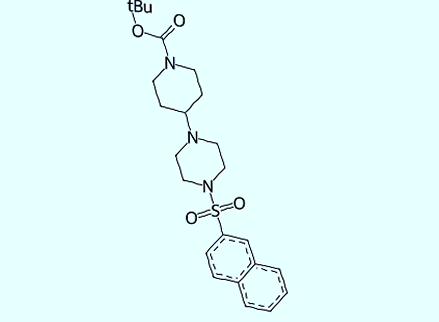 CC(C)(C)OC(=O)N1CCC(N2CCN(S(=O)(=O)c3ccc4ccccc4c3)CC2)CC1